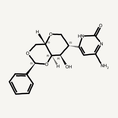 Nc1cc([C@H]2CO[C@H]3CO[C@H](c4ccccc4)O[C@@H]3[C@@H]2O)[nH]c(=O)n1